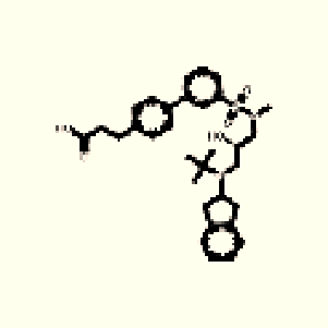 CN(C[C@H](O)CN(C1Cc2ccccc2C1)C(C)(C)C)S(=O)(=O)c1cccc(-c2ccc(CCC(=O)O)cc2)c1